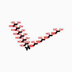 CC(C)C(C)(C)O.OCC(O)CO.OCC(O)CO.OCC(O)CO.OCC(O)CO.OCC(O)CO.OCC(O)CO.OCC(O)CO.OCC(O)CO.OCC(O)CO.OCC(O)CO